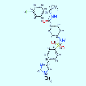 C[C@@H](NC(=O)[C@H]1CC[C@H](NS(=O)(=O)c2ccc(-c3cn(C)cn3)cc2)CC1)c1ccc(F)cc1